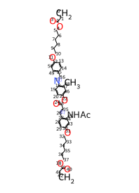 C=CC(=O)OCCCCCCOc1ccc(/C=N/c2ccc(OC(=O)/C=C/c3ccc(OCCCCCCOC(=O)C=C)cc3NC(C)=O)cc2C)cc1